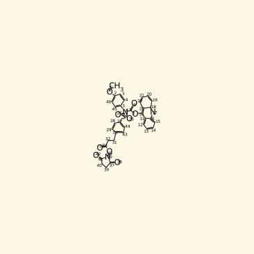 COc1ccc(N(C(=O)Oc2c3ccccc3nc3ccccc23)S(=O)(=O)c2ccc(CCC(=O)ON3C(=O)CCC3=O)cc2)cc1